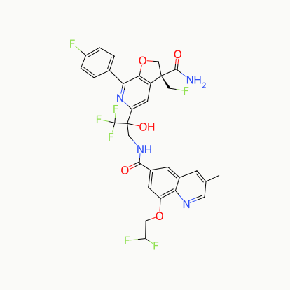 Cc1cnc2c(OCC(F)F)cc(C(=O)NCC(O)(c3cc4c(c(-c5ccc(F)cc5)n3)OC[C@]4(CF)C(N)=O)C(F)(F)F)cc2c1